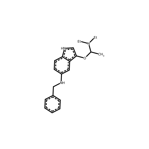 CCN(CC)C(C)Oc1c[nH]c2ccc(NCc3ccccc3)cc12